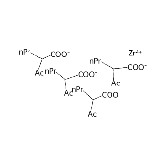 CCCC(C(C)=O)C(=O)[O-].CCCC(C(C)=O)C(=O)[O-].CCCC(C(C)=O)C(=O)[O-].CCCC(C(C)=O)C(=O)[O-].[Zr+4]